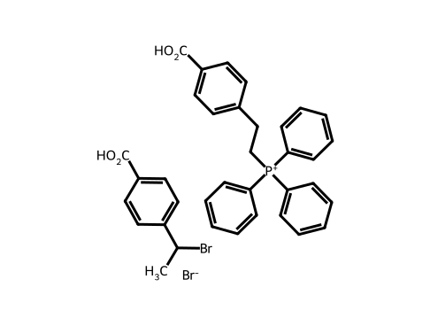 CC(Br)c1ccc(C(=O)O)cc1.O=C(O)c1ccc(CC[P+](c2ccccc2)(c2ccccc2)c2ccccc2)cc1.[Br-]